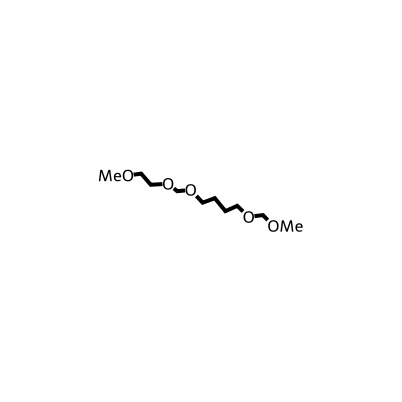 COCCOCOCCCCOCOC